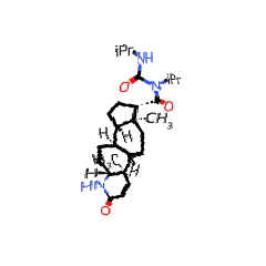 CC(C)NC(=O)N(C(=O)[C@H]1CC[C@H]2[C@@H]3CC[C@H]4NC(=O)C=C[C@]4(C)[C@H]3CC[C@]12C)C(C)C